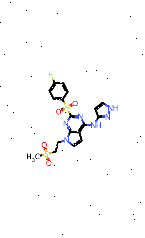 CS(=O)(=O)CCn1ccc2c(Nc3cc[nH]n3)nc(S(=O)(=O)c3ccc(F)cc3)nc21